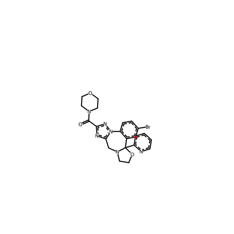 O=C(c1nc2n(n1)-c1ccc(Br)cc1C1(c3ccccn3)OCCN1C2)N1CCOCC1